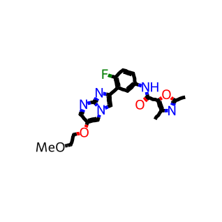 COCCOc1cnc2nc(-c3cc(NC(=O)c4oc(C)nc4C)ccc3F)cn2c1